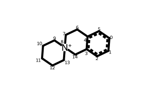 c1ccc2c(c1)CC[N+]1(CCCCC1)C2